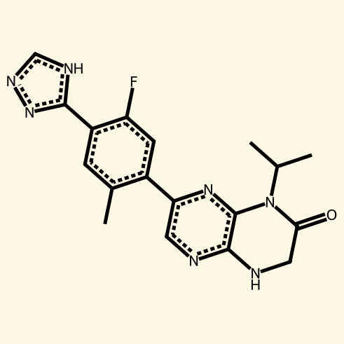 Cc1cc(-c2nnc[nH]2)c(F)cc1-c1cnc2c(n1)N(C(C)C)C(=O)CN2